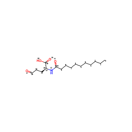 CCCCCCCCCCC(=O)N[C@@H](CCC=O)C(=O)O